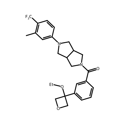 CCOC1(c2cccc(C(=O)N3CC4CN(c5ccc(C(F)(F)F)c(C)c5)CC4C3)c2)COC1